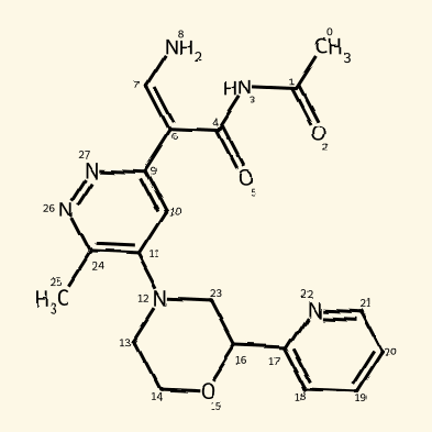 CC(=O)NC(=O)/C(=C\N)c1cc(N2CCOC(c3ccccn3)C2)c(C)nn1